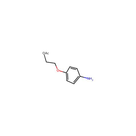 CC(=O)OCCOc1ccc(N)cc1